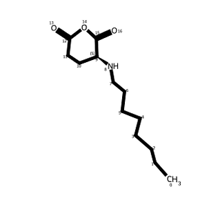 CCCCCCCCN[C@H]1CCC(=O)OC1=O